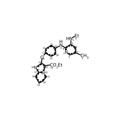 CCNc1cc(C)cnc1Nc1ccc(Oc2nc3ccccn3c2C(=O)OCC)cc1